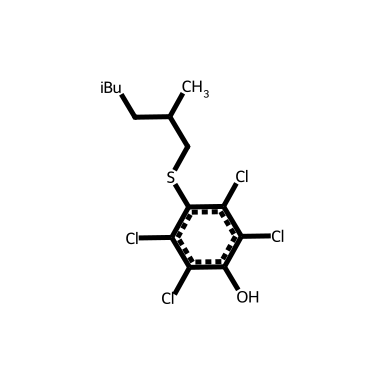 CCC(C)CC(C)CSc1c(Cl)c(Cl)c(O)c(Cl)c1Cl